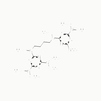 CNc1nc(N(CCCCN(OC)c2nc(N(OC)OC)nc(N(OC)OC)n2)OC)nc(N(OC)OC)n1